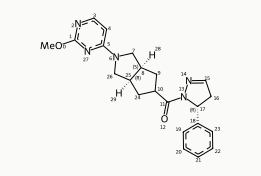 COc1nccc(N2C[C@H]3CC(C(=O)N4N=CC[C@@H]4c4ccccc4)C[C@H]3C2)n1